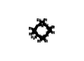 CCC1=C(CC)c2cc3[nH]c(c(N)c4nc(cc5[nH]c(cc1n2)c(CC)c5CC)C(CC)=C4CC)c(CC)c3CC